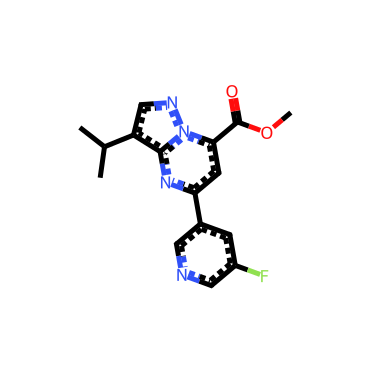 COC(=O)c1cc(-c2cncc(F)c2)nc2c(C(C)C)cnn12